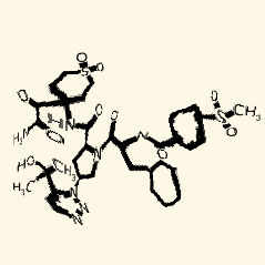 CC(C)(O)c1cnnn1[C@H]1C[C@@H](C(=O)NC2(C(=O)C(N)=O)CCS(=O)(=O)CC2)N(C(=O)/C(CC2CCCCC2)=N/C(=O)c2ccc(S(C)(=O)=O)cc2)C1